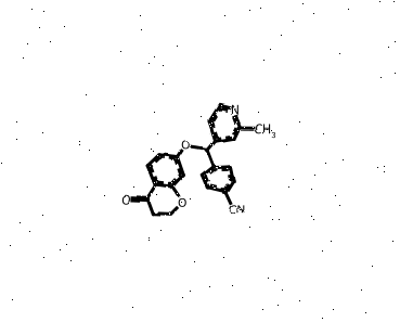 Cc1cc(C(Oc2ccc3c(c2)OCCC3=O)c2ccc(C#N)cc2)ccn1